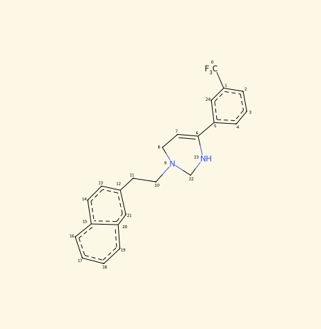 FC(F)(F)c1cccc(C2=CCN(CCc3ccc4ccccc4c3)CN2)c1